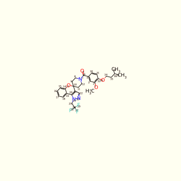 COc1cc(C(=O)N2CCC3(CC2)Oc2ccccc2-c2c3cnn2CC(F)(F)F)ccc1OCCC(C)C